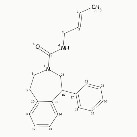 C/C=C/CNC(=O)N1CCc2ccccc2C(c2ccccc2)C1